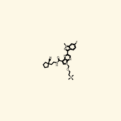 Cn1nc(-c2cnc3c(n2)c(C(=O)NCCC2(C#N)CCCC2)cn3COCC[Si](C)(C)C)c2ccc(F)cc21